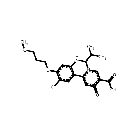 COCCCOc1cc2c(cc1Cl)-c1cc(=O)c(C(=O)O)cn1C(C(C)C)N2